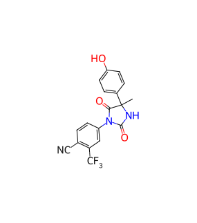 CC1(c2ccc(O)cc2)NC(=O)N(c2ccc(C#N)c(C(F)(F)F)c2)C1=O